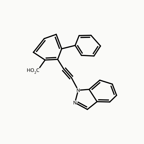 O=C(O)c1cccc(-c2ccccc2)c1C#Cn1ncc2ccccc21